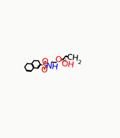 C=C[C@@H](O)OCCNS(=O)(=O)C1=CC2=C(CCC=C2)CC1